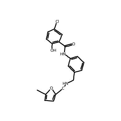 Cc1ccc(CNCc2cccc(NC(=O)c3cc(Cl)ccc3O)c2)o1